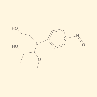 COC(C(C)O)N(CCO)c1ccc(N=O)cc1